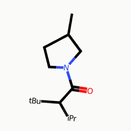 CC1CCN(C(=O)C(C(C)C)C(C)(C)C)C1